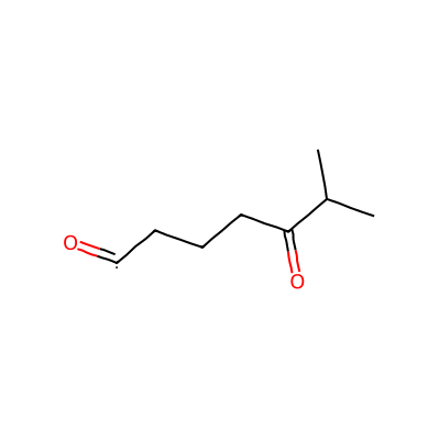 CC(C)C(=O)CCC[C]=O